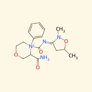 CC1CC(=NC(=O)[N+]2(c3ccccc3)CCOCC2C(N)=O)N(C)O1